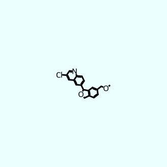 COCc1ccc2c(c1)C(c1ccc3ncc(Cl)cc3c1)OC2